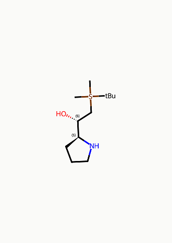 CC(C)(C)S(C)(C)C[C@@H](O)[C@@H]1CCCN1